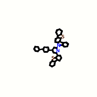 c1ccc(-c2ccc(-c3cc(-c4cccc5c4sc4ccccc45)nc(-n4c5ccccc5c5c6sc7ccccc7c6ccc54)c3)cc2)cc1